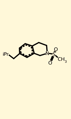 CC(C)Cc1ccc2c(c1)CN(S(C)(=O)=O)CC2